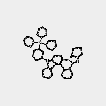 c1ccc([Si](c2ccccc2)(c2ccccc2)c2cccc(-n3c4ccccc4c4c5c6ccccc6c6nc7ccccc7n6c5ccc43)c2)cc1